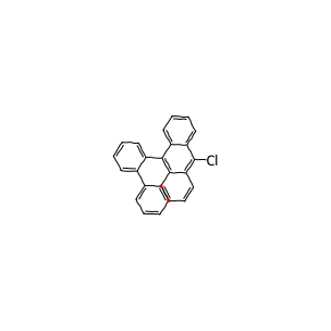 Clc1c2ccccc2c(-c2ccccc2-c2ccccc2)c2ccccc12